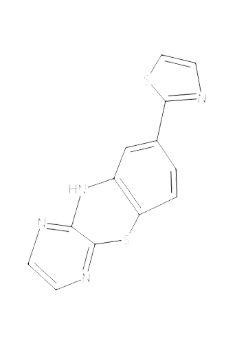 c1csc(-c2ccc3c(c2)Nc2nccnc2S3)n1